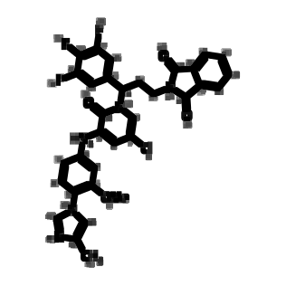 COc1cc(Nc2cc(Cl)cn(C(CCN3C(=O)c4ccccc4C3=O)c3cc(F)c(F)c(F)c3)c2=O)ccc1-n1cnc(C)c1